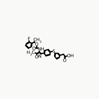 Cc1onc(-c2ccc(Sc3cccc(CC(=O)O)c3)cc2)c1NC(=O)OC(C)c1ccccc1F